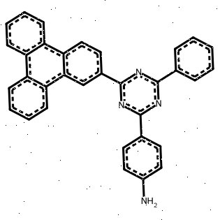 Nc1ccc(-c2nc(-c3ccccc3)nc(-c3ccc4c5ccccc5c5ccccc5c4c3)n2)cc1